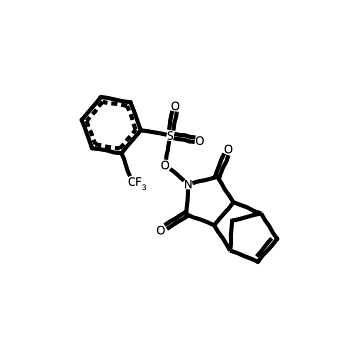 O=C1C2C3C=CC(C3)C2C(=O)N1OS(=O)(=O)c1ccccc1C(F)(F)F